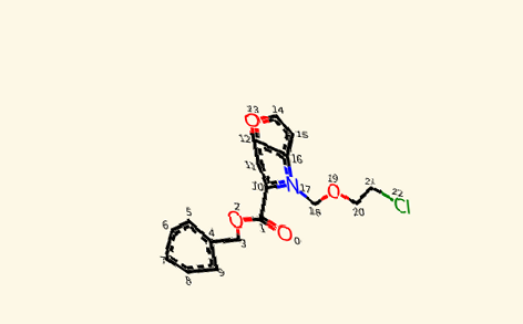 O=C(OCc1ccccc1)c1cc2occc2n1COCCCl